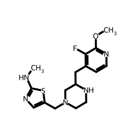 CNc1ncc(CN2CCNC(Cc3ccnc(OC)c3F)C2)s1